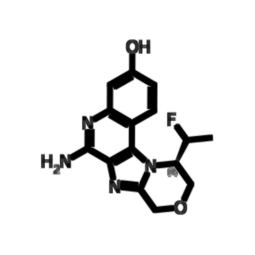 CC(F)[C@H]1COCc2nc3c(N)nc4cc(O)ccc4c3n21